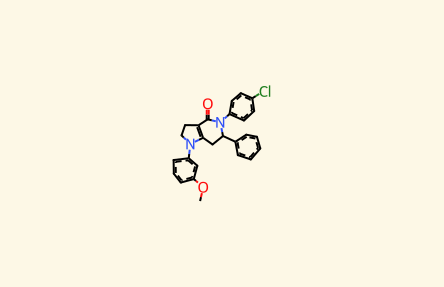 COc1cccc(N2CCC3=C2CC(c2ccccc2)N(c2ccc(Cl)cc2)C3=O)c1